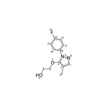 OCCOc1c(I)cnn1-c1ccc(F)cc1